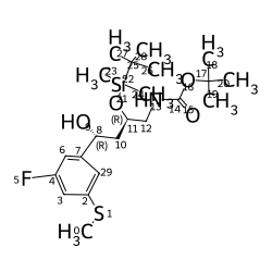 CSc1cc(F)cc([C@H](O)C[C@H](CNC(=O)OC(C)(C)C)O[Si](C)(C)C(C)(C)C)c1